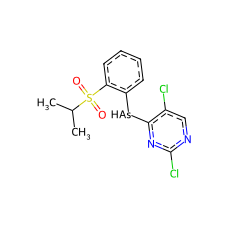 CC(C)S(=O)(=O)c1ccccc1[AsH]c1nc(Cl)ncc1Cl